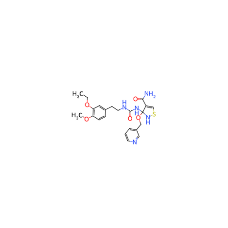 CCOc1cc(CCNC(=O)NC2(OCc3cccnc3)NSC=C2C(N)=O)ccc1OC